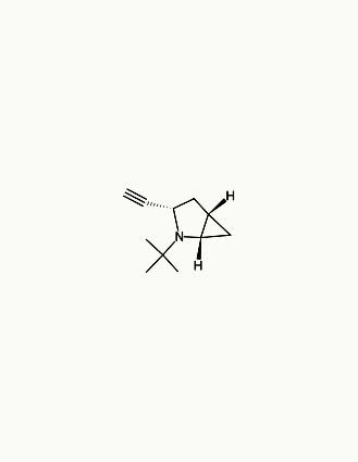 C#C[C@@H]1C[C@@H]2C[C@@H]2N1C(C)(C)C